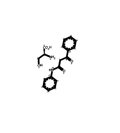 N[C@@H](CO)C(=O)O.O=C(CC(=O)c1ccccc1)Nc1ccccc1